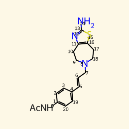 CC(=O)Nc1ccc(C=CCN2CCc3nc(N)sc3CC2)cc1